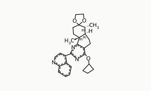 C[C@@H]1[C@H]2CCc3c(OC4CCC4)nc(-c4ccnc5ccccc45)nc3[C@]2(C)CCC12OCCO2